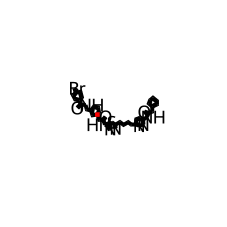 O=C(Cc1ccccc1)Nc1ccc(CCCCc2nnc(NC(=O)Cc3cccc(CNC(=O)c4ccc(Br)cc4)c3)s2)nn1